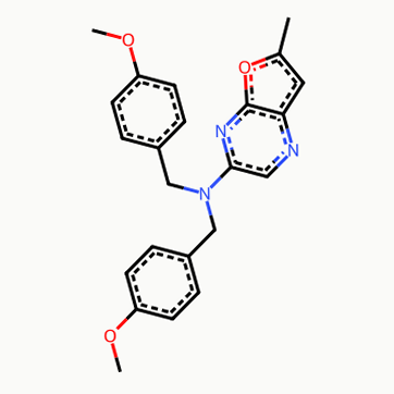 COc1ccc(CN(Cc2ccc(OC)cc2)c2cnc3cc(C)oc3n2)cc1